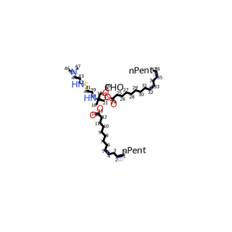 CCCCC/C=C\C/C=C\CCCCCCCC(=O)OCC(COC=O)(COC(=O)CCCCCCC/C=C\C/C=C\CCCCC)NCCSNCCN(C)C